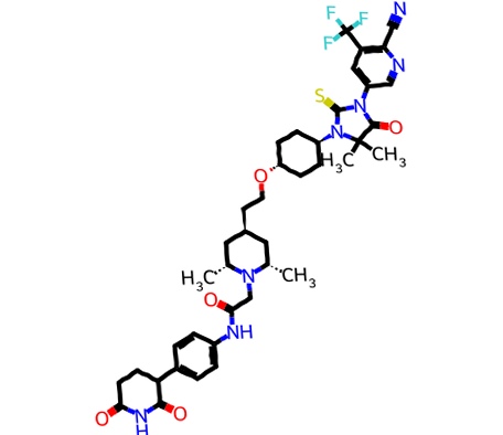 C[C@@H]1C[C@@H](CCO[C@H]2CC[C@H](N3C(=S)N(c4cnc(C#N)c(C(F)(F)F)c4)C(=O)C3(C)C)CC2)C[C@H](C)N1CC(=O)Nc1ccc(C2CCC(=O)NC2=O)cc1